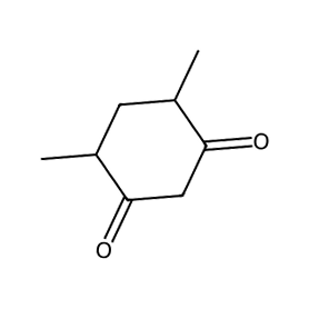 CC1CC(C)C(=O)CC1=O